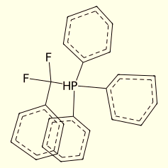 FC(F)(c1ccccc1)[PH](c1ccccc1)(c1ccccc1)c1ccccc1